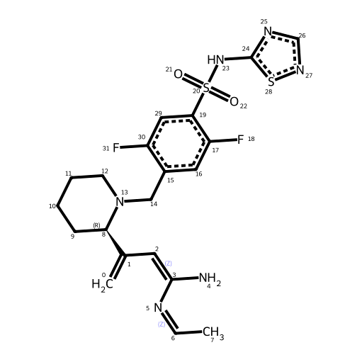 C=C(/C=C(N)\N=C/C)[C@H]1CCCCN1Cc1cc(F)c(S(=O)(=O)Nc2ncns2)cc1F